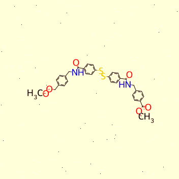 COOCc1ccc(CNC(=O)c2ccc(SSc3ccc(C(=O)NCc4ccc(C(=O)OC)cc4)cc3)cc2)cc1